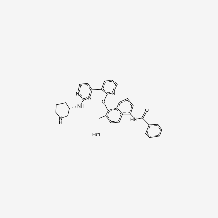 Cc1ccc2c(NC(=O)c3ccccc3)cccc2c1Oc1ncccc1-c1ccnc(N[C@H]2CCCNC2)n1.Cl